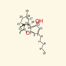 C=C1Oc2cc(CCCCC)cc(O)c2[C@]2(C)C=C(C)CC[C@@]12C